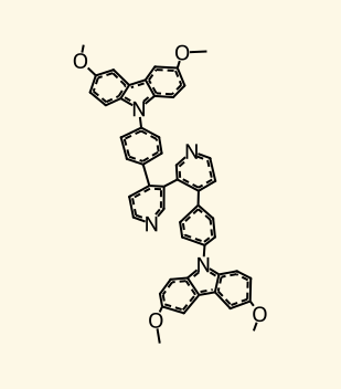 COc1ccc2c(c1)c1cc(OC)ccc1n2-c1ccc(-c2ccncc2-c2cnccc2-c2ccc(-n3c4ccc(OC)cc4c4cc(OC)ccc43)cc2)cc1